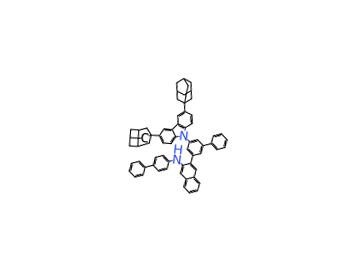 c1ccc(-c2ccc(Nc3cc4ccccc4cc3-c3cc(-c4ccccc4)cc(-n4c5ccc(C67CC8CC(CC(C8)C6)C7)cc5c5cc(C67CC8CC9CC(C6)C98C7)ccc54)c3)cc2)cc1